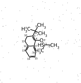 C[SiH](C)OC1=C(C(C)(C)C)CCc2ccccc21